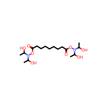 CC(O)N(OC(=O)CCCCCCCC(=O)ON(C(C)O)C(C)O)C(C)O